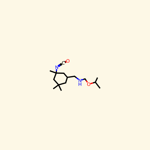 CC(C)OCNCC1CC(C)(C)CC(C)(N=C=O)C1